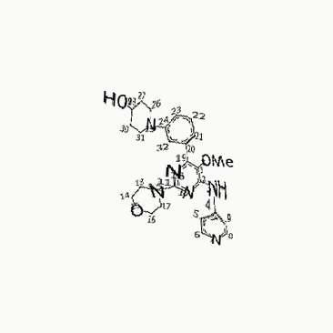 COc1c(Nc2ccncc2)nc(N2CCOCC2)nc1-c1cccc(N2CCC(O)CC2)c1